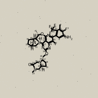 Cc1c(F)c(N)cc(-c2nc3c4c(nc(OC[C@@H]5CC[C@H]6CN(C)C(=O)CN56)nc4c2F)N2C[C@H]4CC[C@H](N4)[C@H]2[C@H](C)O3)c1C(F)(F)F